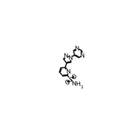 NS(=O)(=O)c1cccc(-c2cnn(-c3cncnc3)c2)n1